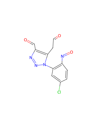 O=CCc1c(C=O)nnn1-c1cc(Cl)ccc1N=O